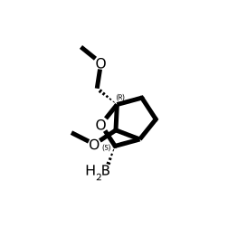 B[C@@H]1O[C@@]2(COC)CCC1C2OC